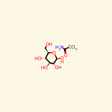 NC(=O)C(Cl)(Cl)Cl.OC[C@H]1O[C@@H](O)[C@H](O)[C@@H](O)[C@@H]1O